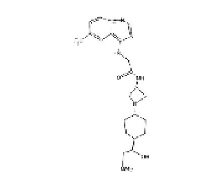 COCC(O)[C@H]1CC[C@H](N2CC(NC(=O)CNc3ncnc4ccc(C(F)(F)F)cc34)C2)CC1